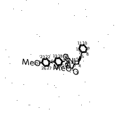 COC(=O)C(CC#Cc1ccccc1)NS(=O)(=O)c1ccc(-c2ccc(OC)cc2)cc1